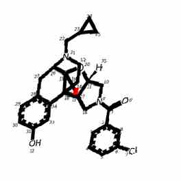 O=C(c1cccc(Cl)c1)N1C[C@H]2OC34CCC1C2C31CCN(CC2CC2)C4Cc2ccc(O)cc21